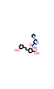 O=C(Nc1cc(/C=C/c2cccc(O)c2)ccc1C(=O)O)c1cncc(-n2cccc2)c1